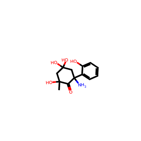 CC1(O)CC(O)(O)CC(N)(c2ccccc2O)C1=O